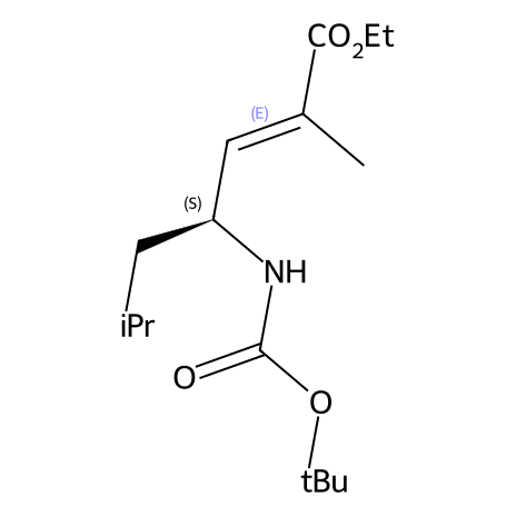 CCOC(=O)/C(C)=C/[C@H](CC(C)C)NC(=O)OC(C)(C)C